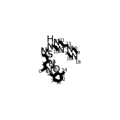 Cc1cc(-c2cnc(Nc3cnc(CN4CCN(C)CC4)cn3)s2)nc(Oc2c(C)cccc2C)n1